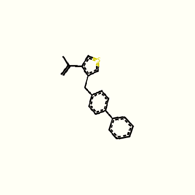 C=C(C)c1cscc1Cc1ccc(-c2ccccc2)cc1